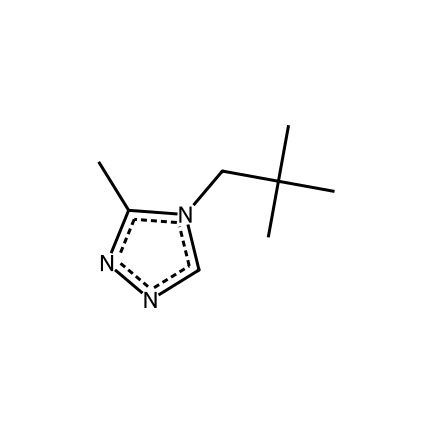 Cc1nncn1CC(C)(C)C